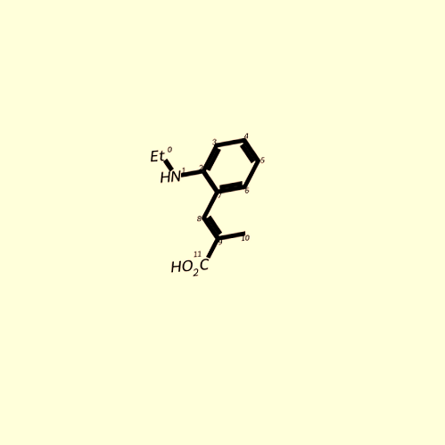 CCNc1ccccc1C=C(C)C(=O)O